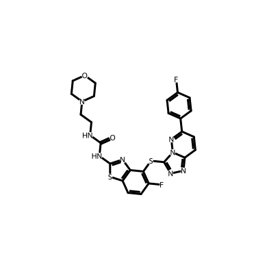 O=C(NCCN1CCOCC1)Nc1nc2c(Sc3nnc4ccc(-c5ccc(F)cc5)nn34)c(F)ccc2s1